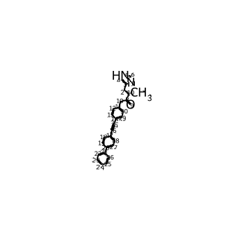 C[C@@H](Cc1c[nH]cn1)C(=O)Cc1ccc(C#Cc2ccc(-c3ccccc3)cc2)cc1